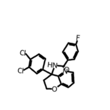 O=C(NC1(c2ccc(Cl)c(Cl)c2)CCOc2cccnc21)c1ccc(F)cc1